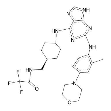 Cc1cc(N2CCOCC2)ccc1Nc1nc(N[C@H]2CC[C@H](CNC(=O)C(F)(F)F)CC2)c2nc[nH]c2n1